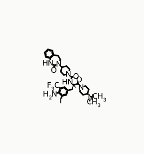 CN(C)C1CCN(C(=O)[C@@H](Cc2cc(I)c(N)c(C(F)(F)F)c2)NC(=O)N2CCC(N3CCc4ccccc4NC3=O)CC2)CC1